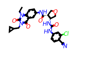 CCn1c(=O)n(CC2CC2)c(=O)c2cc(NC(=O)[C@@H]3COC[C@@H]3NC(=O)Nc3ccc(C#N)c(Cl)c3)ccc21